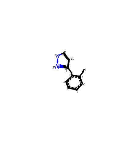 Cc1ccccc1C1=N[N]C=C1